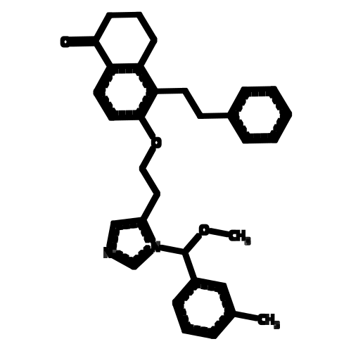 COC(c1cccc(C)c1)n1cncc1CCOc1ccc2c(c1CCc1ccccc1)CCCC2=O